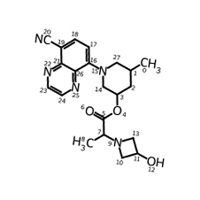 CC1CC(OC(=O)C(C)N2CC(O)C2)CN(c2ccc(C#N)c3nccnc23)C1